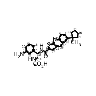 CC1(c2ccc3nc4sc(C(=O)N[C@H](CNC(=O)O)c5cccc(N)c5)cc4cc3c2)CCCC1